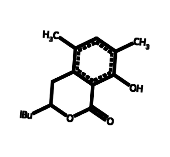 CCC(C)C1Cc2c(C)cc(C)c(O)c2C(=O)O1